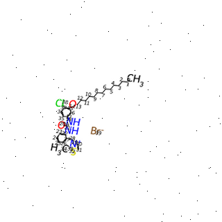 CCCCCCCCCCCCCCOc1cc(NC(=O)Nc2ccccc2C[n+]2ccsc2C)ccc1Cl.[Br-]